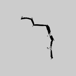 CCCC=C=COC